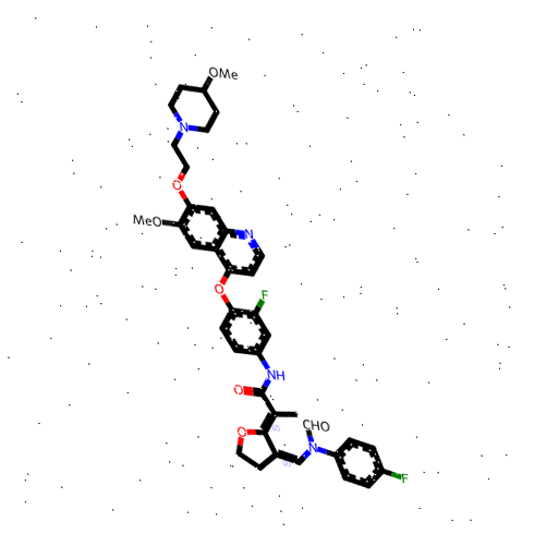 COc1cc2c(Oc3ccc(NC(=O)/C(C)=C4\OCC\C4=C\N(C=O)c4ccc(F)cc4)cc3F)ccnc2cc1OCCN1CCC(OC)CC1